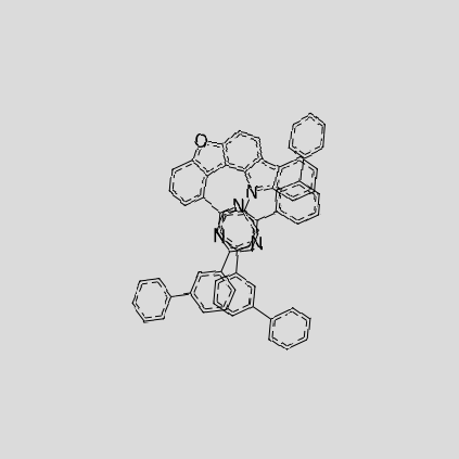 c1ccc(-c2cccc(-c3ccc(-n4c5ccccc5c5ccc6oc7cccc(-c8nc(-c9cccc(-c%10ccccc%10)c9)nc(-c9cccc(-c%10ccccc%10)c9)n8)c7c6c54)cc3)c2)cc1